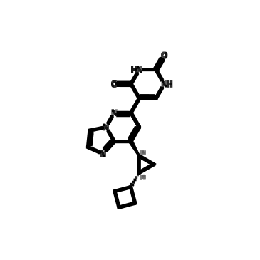 O=c1[nH]cc(-c2cc([C@H]3C[C@@H]3C3CCC3)c3nccn3n2)c(=O)[nH]1